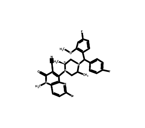 COc1cc(F)ccc1C(c1ccc(F)cc1)N1C[C@H](C)N(c2c(C#N)c(=O)n(C)c3ccc(Br)nc23)CC1C